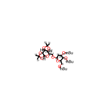 CCCCOCC1O[C@@H](OCC2O[C@@H]3OC(C)(C)OC3[C@H]3OC(C)(C)O[C@@H]23)C[C@@H](OCCCC)[C@@H]1OCCCC